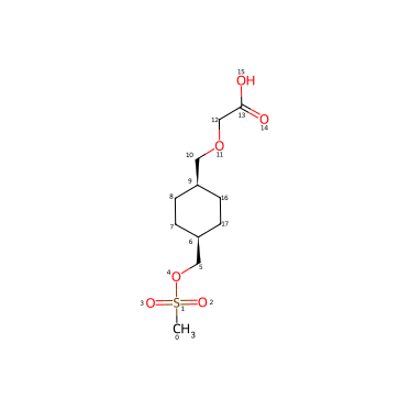 CS(=O)(=O)OC[C@H]1CC[C@@H](COCC(=O)O)CC1